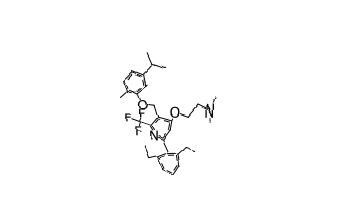 CCc1cccc(CC)c1-c1cc(OCCN(C)C)c(COc2cc(C(C)C)ccc2C)c(C(F)(F)F)n1